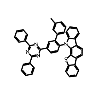 Cc1cccc(-c2cc(-c3nc(-c4ccccc4)nc(-c4ccccc4)n3)ccc2-n2c3ccccc3c3ccc4c5ccccc5sc4c32)c1